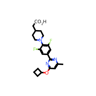 Cc1cc(OC2CCC2)nc(-c2cc(F)c(N3CCC(CC(=O)O)CC3)c(F)c2)n1